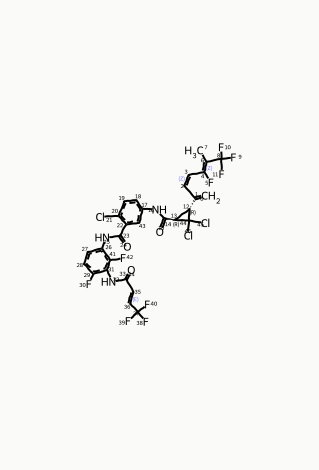 C=C(/C=C\C(F)=C(/C)C(F)(F)F)[C@H]1[C@H](C(=O)Nc2ccc(Cl)c(C(=O)Nc3ccc(F)c(NC(=O)/C=C/C(F)(F)F)c3F)c2)C1(Cl)Cl